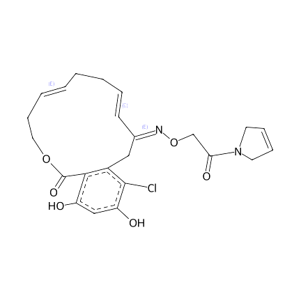 O=C1OCC/C=C/CC/C=C/C(=N/OCC(=O)N2CC=CC2)Cc2c(Cl)c(O)cc(O)c21